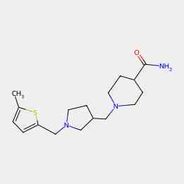 Cc1ccc(CN2CCC(CN3CCC(C(N)=O)CC3)C2)s1